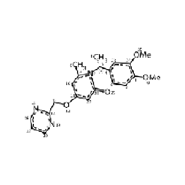 COc1ccc([C@@H](C)n2c(C)cc(OCc3ncccn3)cc2=O)cc1OC